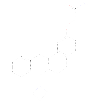 NC(=O)COc1ccc2c(c1)C(Cc1ccccc1)C(CN1CCC1)CC2